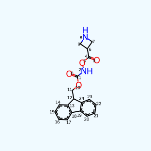 O=C(NOC(=O)C1CNC1)OCC1c2ccccc2-c2ccccc21